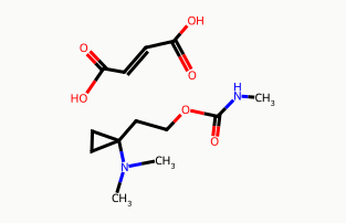 CNC(=O)OCCC1(N(C)C)CC1.O=C(O)C=CC(=O)O